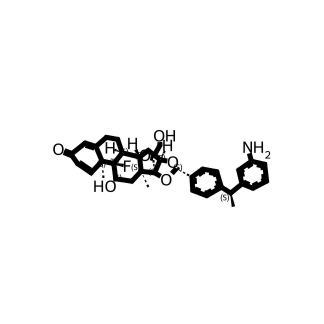 C[C@@H](c1ccc([C@H]2O[C@@H]3C[C@H]4[C@@H]5CCC6=CC(=O)C=C[C@]6(C)[C@@]5(F)[C@@H](O)C[C@]4(C)[C@]3(C(=O)CO)O2)cc1)c1cccc(N)c1